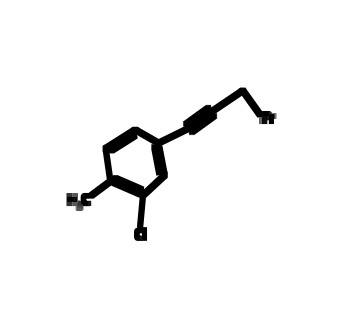 Cc1ccc(C#CCC(C)C)cc1Cl